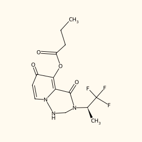 CCCC(=O)Oc1c2n(ccc1=O)NCN([C@H](C)C(F)(F)F)C2=O